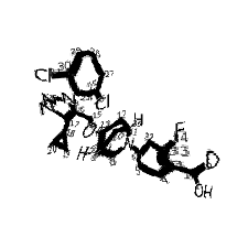 O=C(O)c1ccc(N2C[C@@H]3C[C@H]2C[C@H]3OCc2c(C3CC3)nnn2-c2c(Cl)cccc2Cl)cc1F